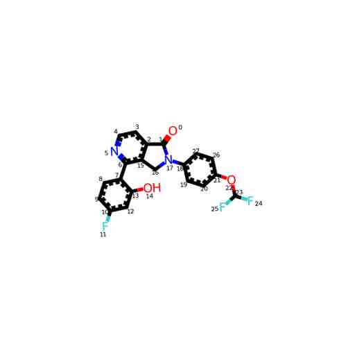 O=C1c2ccnc(-c3ccc(F)cc3O)c2CN1c1ccc(OC(F)F)cc1